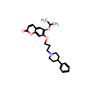 CC(C)Oc1cc2ccc(=O)oc2cc1OCCCN1CCC(c2ccccc2)CC1